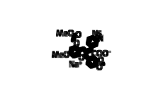 COC(=O)COc1cc(OC)ccc1CC(C(=O)c1ccc2c(c1)OCO2)=C(C(=O)[O-])c1ccc2nsnc2c1.[Na+]